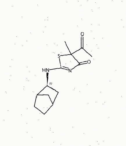 CC(=O)C1(C)SC(N[C@H]2CC3CCC2C3)=NC1=O